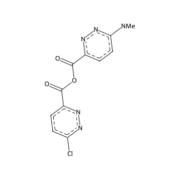 CNc1ccc(C(=O)OC(=O)c2ccc(Cl)nn2)nn1